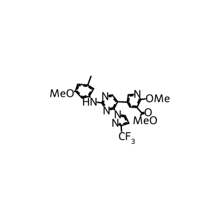 COC(=O)c1cc(-c2cnc(Nc3cc(C)cc(OC)c3)nc2-n2ccc(C(F)(F)F)n2)cnc1OC